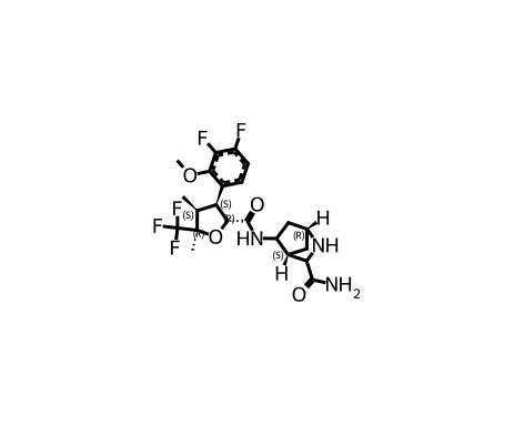 COc1c([C@H]2[C@H](C(=O)NC3C[C@H]4C[C@@H]3C(C(N)=O)N4)O[C@@](C)(C(F)(F)F)[C@H]2C)ccc(F)c1F